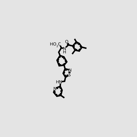 Cc1ccnc(NCc2cc(-c3ccc(CC(NC(=O)c4c(C)cc(C)cc4C)C(=O)O)cc3)ns2)c1